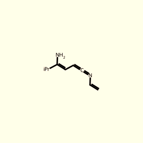 C=CN=C=C/C=C(\N)C(C)C